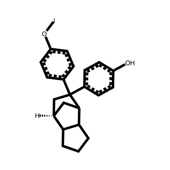 Oc1ccc(C2(c3ccc(OI)cc3)C[C@H]3CC2C2CCCC23)cc1